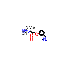 CN/C(=N/C#N)NCC(O)COc1cccc(CN(C)C)c1